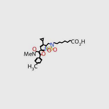 CNC(=O)c1c(-c2ccc(C)cc2)oc2nc(CN(CCCCCCCC(=O)O)[SH](=O)=O)c(C3CC3)cc12